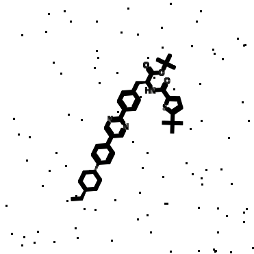 CC[C@H]1CC[C@H](c2ccc(-c3cnc(-c4ccc(C[C@H](NC(=O)c5ccc(C(C)(C)C)s5)C(=O)OC(C)(C)C)cc4)nc3)cc2)CC1